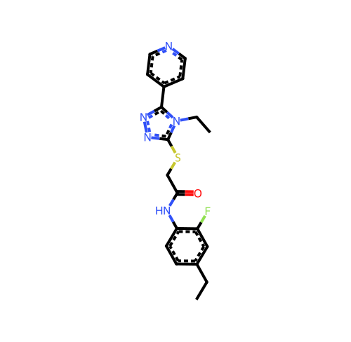 CCc1ccc(NC(=O)CSc2nnc(-c3ccncc3)n2CC)c(F)c1